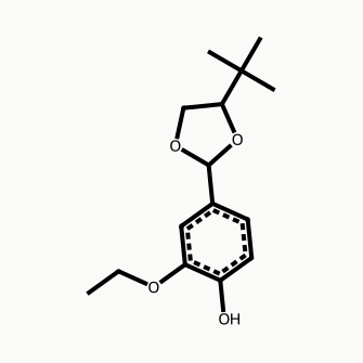 CCOc1cc(C2OCC(C(C)(C)C)O2)ccc1O